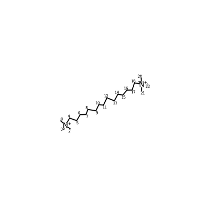 C[N+](C)(C)CCCCCCCCCCCCCCC[N+](C)(C)C